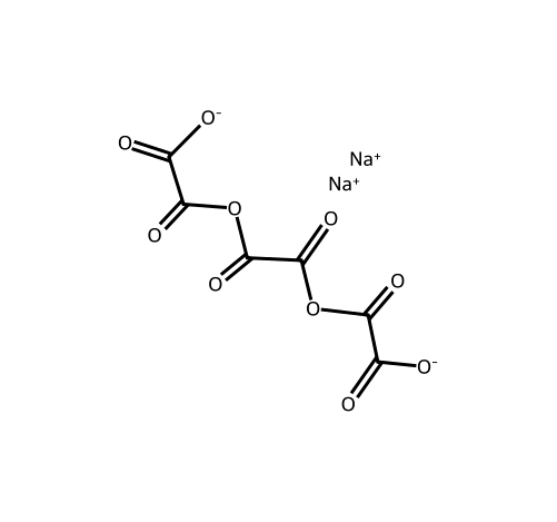 O=C([O-])C(=O)OC(=O)C(=O)OC(=O)C(=O)[O-].[Na+].[Na+]